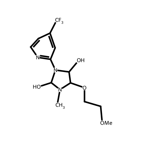 COCCOC1C(O)N(c2cc(C(F)(F)F)ccn2)C(O)N1C